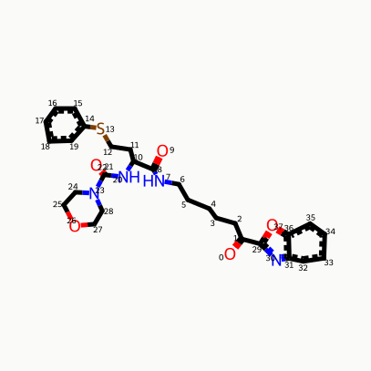 O=C(CCCCCNC(=O)C(CCSc1ccccc1)NC(=O)N1CCOCC1)c1nc2ccccc2o1